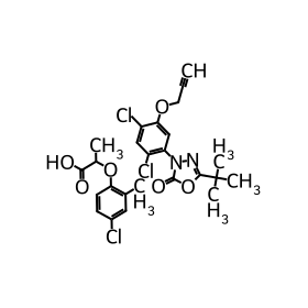 C#CCOc1cc(-n2nc(C(C)(C)C)oc2=O)c(Cl)cc1Cl.Cc1cc(Cl)ccc1OC(C)C(=O)O